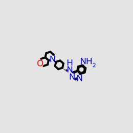 Nc1ccc2ncnc(NC[C@H]3CC[C@H](N4CCCC5COCCC54)CC3)c2c1